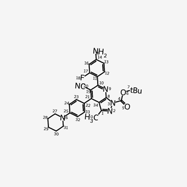 Cc1nn(C(=O)OC(C)(C)C)c2nc(-c3ccc(N)cc3F)c(C#N)c(-c3ccc(N4CCCCC4)cc3)c12